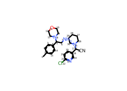 Cc1ccc(C(CN)N2CCOCC2)cc1.N#CC(c1ccc(Cl)nc1)N1CCCCC1